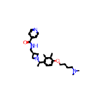 Cc1c(OCCCCN(C)C)ccc(C(C)N2CC(CNC(=O)c3ccncc3)C2)c1C